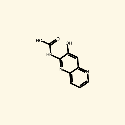 O=C(O)Nc1nc2cccnc2cc1O